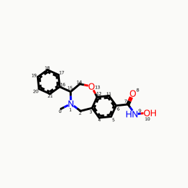 CN1Cc2ccc(C(=O)NO)cc2OCC1c1ccccc1